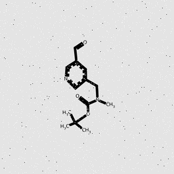 CN(Cc1cncc(C=O)c1)C(=O)OC(C)(C)C